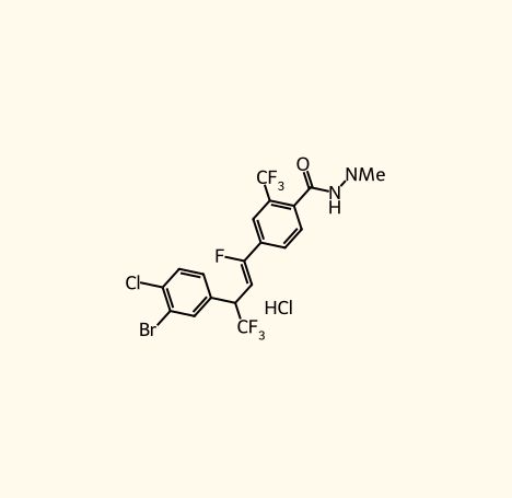 CNNC(=O)c1ccc(/C(F)=C/C(c2ccc(Cl)c(Br)c2)C(F)(F)F)cc1C(F)(F)F.Cl